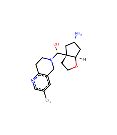 N[C@@H]1C[C@H]2OCC[C@@]2([C@@H](O)N2CCc3ncc(C(F)(F)F)cc3C2)C1